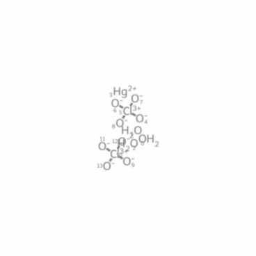 O.O.O.[Hg+2].[O-][Cl+3]([O-])([O-])[O-].[O-][Cl+3]([O-])([O-])[O-]